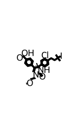 COCCN1C=C(c2ccc(C(=O)O)cc2)[C@](C)(c2ccc(CCC(C)(C)I)c(Cl)c2)NC1=O